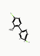 CCCCc1cc(F)ccc1-c1ccc(F)cc1